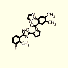 Cc1cc(C(=O)N2CCCC2c2nc(-c3cccc(F)c3C)no2)c(-n2nccn2)cc1C